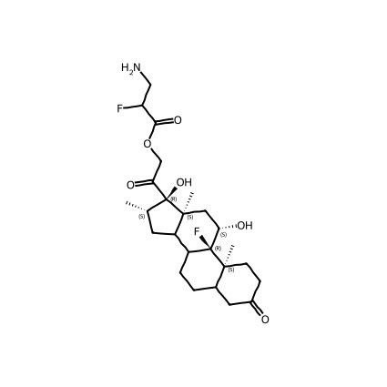 C[C@H]1CC2C3CCC4CC(=O)CC[C@]4(C)[C@@]3(F)[C@@H](O)C[C@]2(C)[C@@]1(O)C(=O)COC(=O)C(F)CN